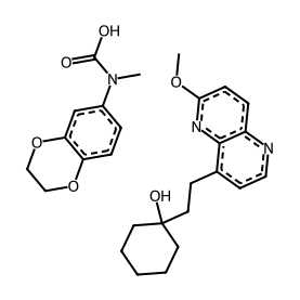 CN(C(=O)O)c1ccc2c(c1)OCCO2.COc1ccc2nccc(CCC3(O)CCCCC3)c2n1